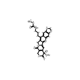 CC[C@@]1(OC(C)=O)C(=O)OCc2c1cc1n(c2=O)Cc2c-1nc1cc3c(cc1c2CCCNC(=O)OC(C)(C)C)OCO3